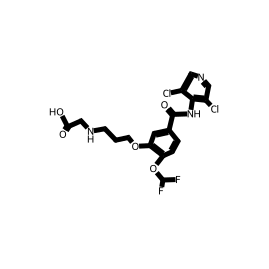 O=C(O)CNCCCOc1cc(C(=O)Nc2c(Cl)cncc2Cl)ccc1OC(F)F